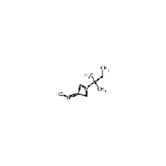 CCC(C)(C)N1CC(=NO)C1